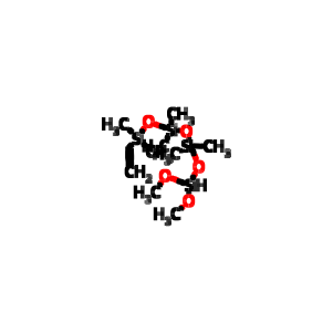 C=C[Si](C)(C)O[Si](C)(C)O[Si](C)(C)O[SiH](OC)OC